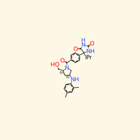 Cc1ccc(N[C@H]2C[C@@H](CO)N(C(=O)c3ccc(C4(C(C)C)NC(=O)NC4=O)cc3)C2)c(C)c1